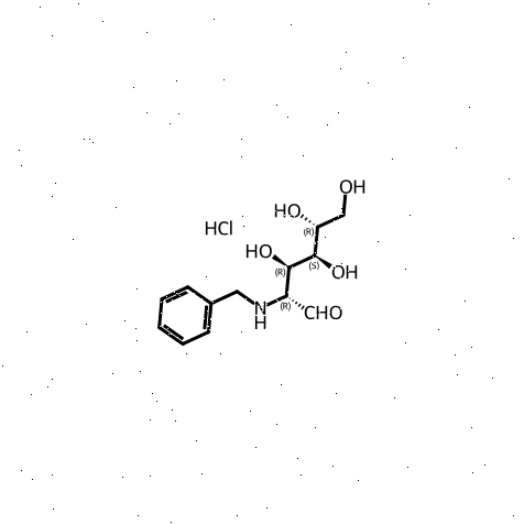 Cl.O=C[C@H](NCc1ccccc1)[C@@H](O)[C@H](O)[C@H](O)CO